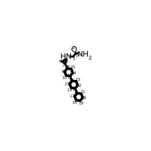 NC(=O)CN[C@H]1CC1c1ccc(-c2ccc(-c3ccccc3)cc2)cc1